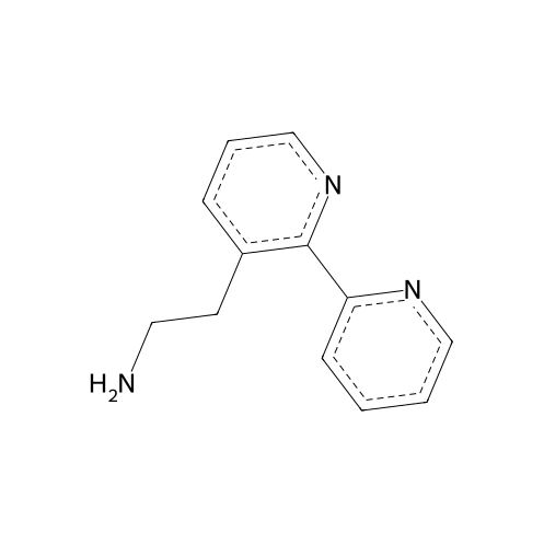 NCCc1cccnc1-c1ccccn1